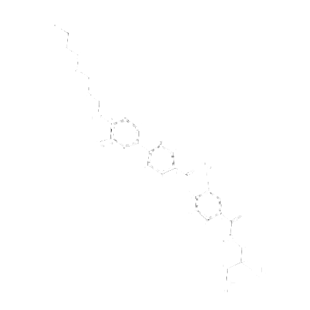 CCCCCCCCOc1ccc(-c2ccc(C(=O)Oc3ccc(C(=O)OCC(C)CC)cc3F)cc2)cc1Cl